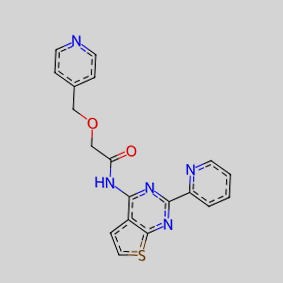 O=C(COCc1ccncc1)Nc1nc(-c2ccccn2)nc2sccc12